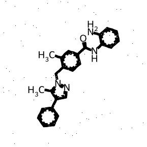 Cc1cc(C(=O)Nc2ccccc2N)ccc1Cn1ncc(-c2ccccc2)c1C